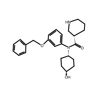 O=C([C@H]1CCCNC1)N(c1cccc(OCc2ccccc2)c1)[C@H]1CC[C@H](O)CC1